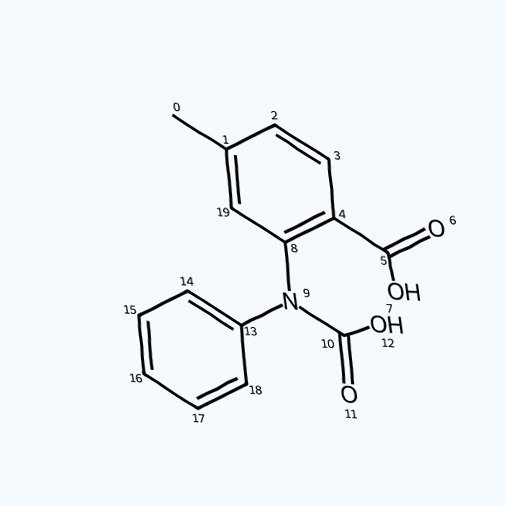 Cc1ccc(C(=O)O)c(N(C(=O)O)c2ccccc2)c1